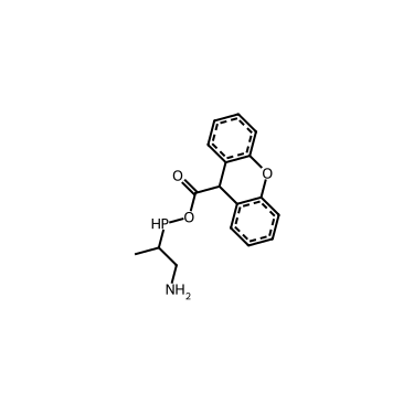 CC(CN)POC(=O)C1c2ccccc2Oc2ccccc21